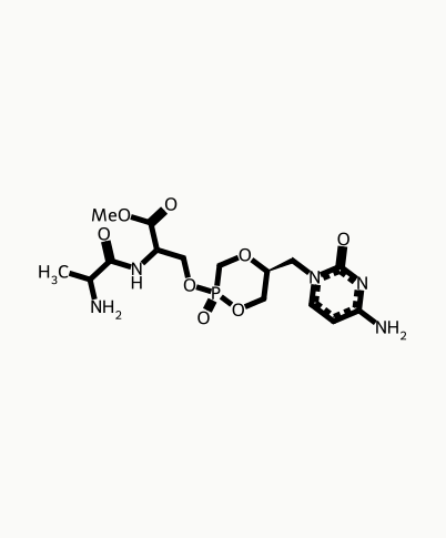 COC(=O)C(COP1(=O)CO[C@@H](Cn2ccc(N)nc2=O)CO1)NC(=O)C(C)N